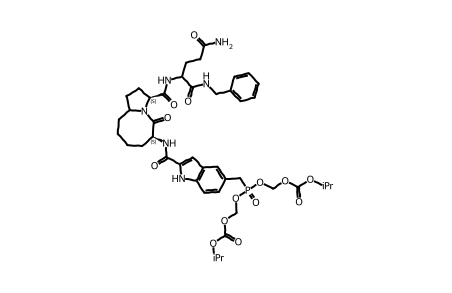 CC(C)OC(=O)OCOP(=O)(Cc1ccc2[nH]c(C(=O)N[C@H]3CCCCC4CC[C@@H](C(=O)NC(CCC(N)=O)C(=O)NCc5ccccc5)N4C3=O)cc2c1)OCOC(=O)OC(C)C